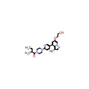 C=CC(C)C(=O)N1CCN(c2ccc(-c3cc(OCCO)cn4ncc(C#N)c34)cn2)CC1